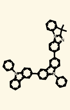 CC1(C)c2ccccc2-n2c1nc1cc(-c3ccc4c(c3)c3cc(-c5ccc6c(c5)c5ccccc5n6-c5ccccc5)ccc3n4-c3ccccc3)ccc12